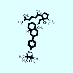 CC(C)CCC[C@@H](C)[C@H]1CC[C@@H](C)[C@]1(C)CC[C@H]1CCC[C@H]2CC(c3ccc(B4OC(C)(C)C(C)(C)O4)cc3)CC[C@]12C